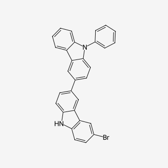 Brc1ccc2[nH]c3ccc(-c4ccc5c(c4)c4ccccc4n5-c4ccccc4)cc3c2c1